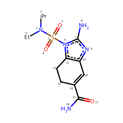 CCN(C(C)C)S(=O)(=O)n1c(N)nc2c1CCC(C(N)=O)=C2